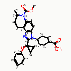 COC(=O)N1c2ccc3c(nc(C4(Oc5ccccc5)CC4)n3C3CCC(C(=O)O)CC3)c2CCC1C